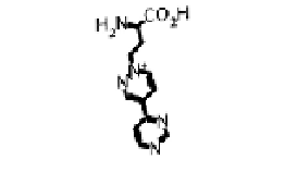 NC(CC[n+]1ccc(-c2ccncn2)cn1)C(=O)O